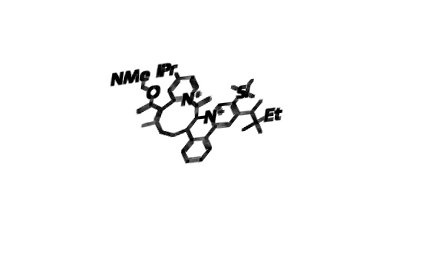 C=C(OCNC)C1=C(C)CCC2c3ccccc3-c3cc(C(C)C(C)(C)CC)c([Si](C)(C)C)c[n+]3C2C(=C)[n+]2ccc(C(C)C)cc21